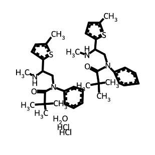 CNC(CN(C(=O)C(C)(C)C)c1ccccc1)c1ccc(C)s1.CNC(CN(C(=O)C(C)(C)C)c1ccccc1)c1ccc(C)s1.Cl.Cl.O